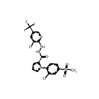 CS(=O)(=O)c1ccc(-n2cccc2C(=O)NNc2ncc(C(F)(F)F)cc2Cl)c(Cl)c1